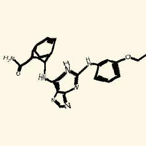 CCOc1cccc(Nc2nc3ncnc-3c(NC3C4C=CC(C4)C3C(N)=O)[nH]2)c1